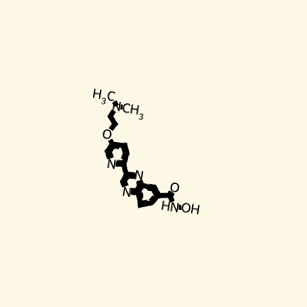 CN(C)CCOc1ccc(-c2cnc3ccc(C(=O)NO)cc3n2)nc1